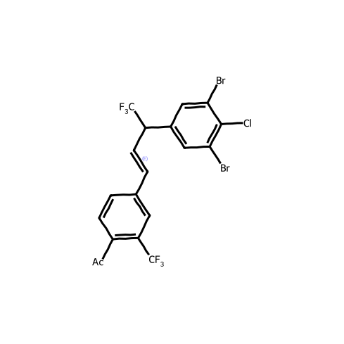 CC(=O)c1ccc(/C=C/C(c2cc(Br)c(Cl)c(Br)c2)C(F)(F)F)cc1C(F)(F)F